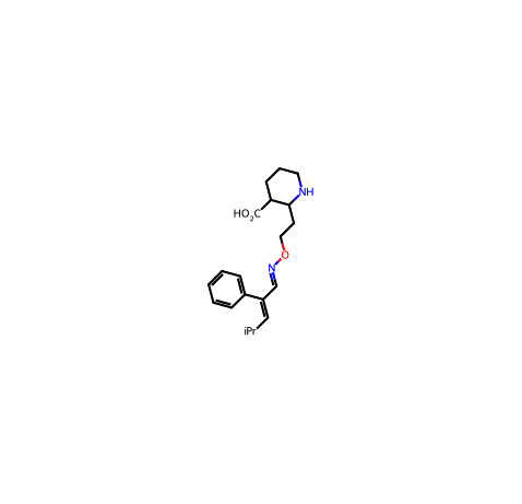 CC(C)C=C(C=NOCCC1NCCCC1C(=O)O)c1ccccc1